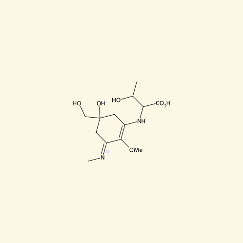 C/N=C1\CC(O)(CO)CC(NC(C(=O)O)C(C)O)=C1OC